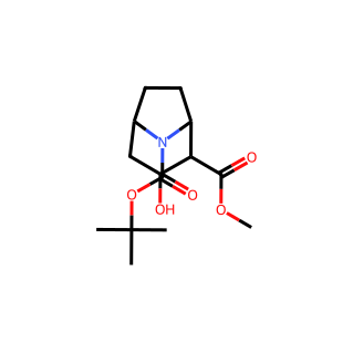 COC(=O)C1C(O)CC2CCC1N2C(=O)OC(C)(C)C